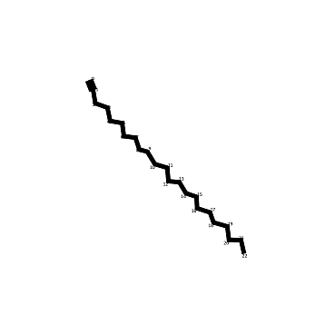 C#CCCCCCCCCCCCCCCCCCCCCC